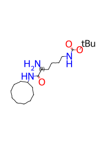 CC(C)(C)OC(=O)NCCCC[C@@H](N)C(=O)NC1CCCCCCCCC1